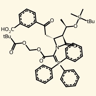 C[C@@H](O[Si](C)(C)C(C)(C)C)[C@H]1C(=O)N(C(C(=O)OCOC(=O)C(C)(C)C)=P(c2ccccc2)(c2ccccc2)c2ccccc2)[C@@H]1CC(=O)c1cccc(C(=O)O)c1